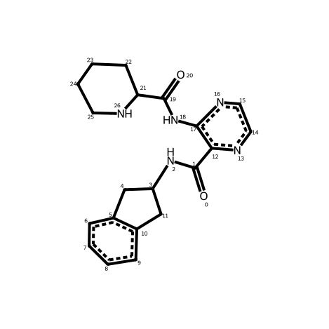 O=C(NC1Cc2ccccc2C1)c1nccnc1NC(=O)C1CCCCN1